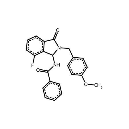 COc1ccc(CN2C(=O)c3cccc(F)c3C2NC(=O)c2ccccc2)cc1